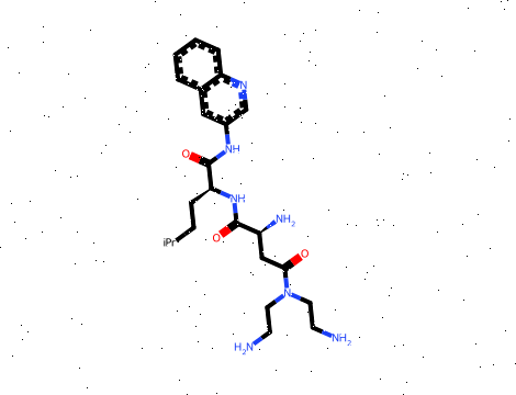 CC(C)CC[C@H](NC(=O)[C@@H](N)CC(=O)N(CCN)CCN)C(=O)Nc1cnc2ccccc2c1